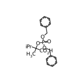 CC(C)C(C)(OP(=O)(OCc1ccccc1)OCc1ccccc1)C(=O)O